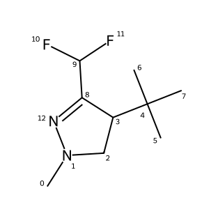 CN1CC(C(C)(C)C)C(C(F)F)=N1